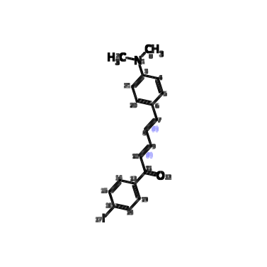 CN(C)c1ccc(/C=C/C=C/C(=O)c2ccc(I)cc2)cc1